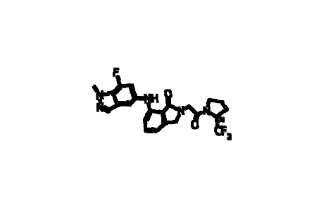 Cn1ncc2cc(Nc3cccc4c3C(=O)N(CC(=O)N3CCC[C@H]3C(F)(F)F)C4)cc(F)c21